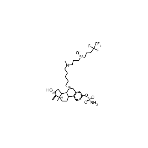 C=C1[C@H](O)CC2C3C(CC[C@]12C)c1ccc(OS(N)(=O)=O)cc1C[C@H]3CCCCCN(C)CCC[S+]([O-])CCCC(F)(F)C(F)(F)F